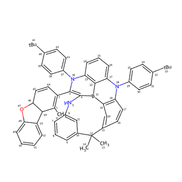 CC1=C(C2=C3Nc4cccc(c4)C(C)(C)c4ccc5c(c4)B3c3c(cccc3N5c3ccc(C(C)(C)C)cc3)N2c2ccc(C(C)(C)C)cc2)C=CC2Oc3ccccc3C12